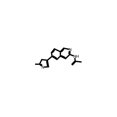 C=C(C)Nc1cc2cc(C3=CN=C(C)C3)ccc2cn1